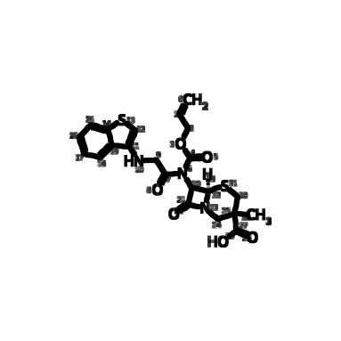 C=CCOC(=O)N(C(=O)CNc1csc2ccccc12)C1C(=O)N2CC(C)(C(=O)O)CS[C@H]12